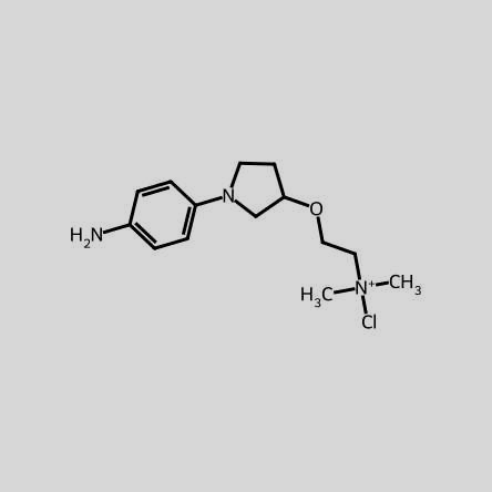 C[N+](C)(Cl)CCOC1CCN(c2ccc(N)cc2)C1